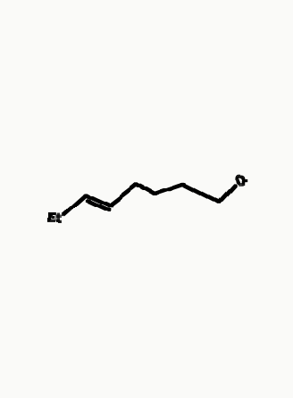 CCC=CCCCC[O]